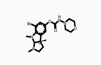 CN1CC[C@@]2(C)c3cc(OC(=O)NN4CCOCC4)cc(Br)c3N(C)C12